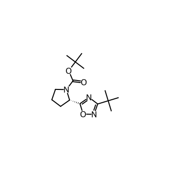 CC(C)(C)OC(=O)N1CCC[C@H]1c1nc(C(C)(C)C)no1